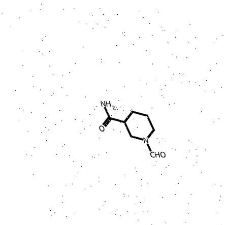 NC(=O)C1CCCN(C=O)C1